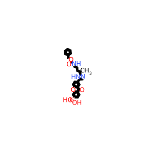 C[C@@H](CCCNC(=O)OCc1ccccc1)c1ncc(-c2ccc3oc4cc(B(O)O)ccc4c(=O)c3c2)[nH]1